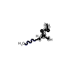 [2H]C([2H])([2H])C(=O)Oc1ccccc1C(=O)Oc1ccccc1C(=O)OC(C(=O)NCCC(=O)O)C(C)(C)COC(=O)CCC/C=C\C/C=C\C/C=C\C/C=C\C/C=C\CC